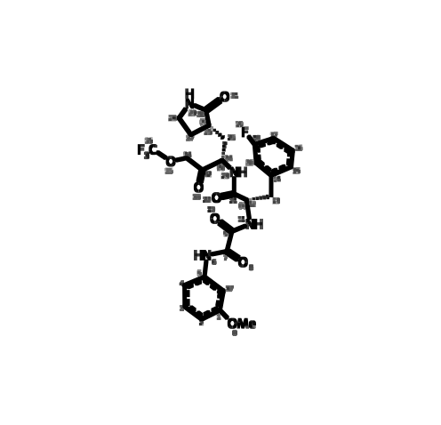 COc1cccc(NC(=O)C(=O)N[C@@H](Cc2cccc(F)c2)C(=O)N[C@@H](C[C@@H]2CCNC2=O)C(=O)COC(F)(F)F)c1